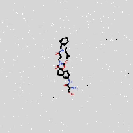 C[C@@H](C1CC1)N(Cc1ccccc1)C(=O)CCN1C(=O)OC2(CCc3cc(NC(=O)[C@@H](N)CO)ccc32)C1=O